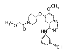 C#Cc1cccc(Nc2ncnc3cc(OC)c(OC4CCN(C(=O)COC)CC4)cc23)c1